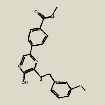 CNC(=O)c1ccc(-c2cnc(O)c(NCc3cccc(OC)c3)n2)cc1